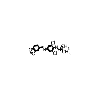 CN(C)C=Nc1c(Cl)cc(N=Cc2ccc3c(c2)OCO3)cc1Cl